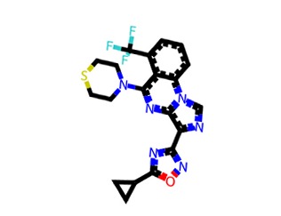 FC(F)(F)c1cccc2c1c(N1CCSCC1)nc1c(-c3noc(C4CC4)n3)ncn12